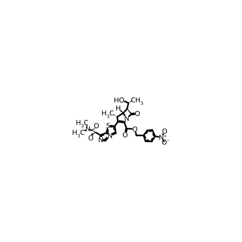 C[C@@H](O)[C@H]1C(=O)N2C(C(=O)OCc3ccc([N+](=O)[O-])cc3)=C(c3cn4cnc(S(=O)(=O)N(C)C)c4s3)[C@H](C)[C@H]12